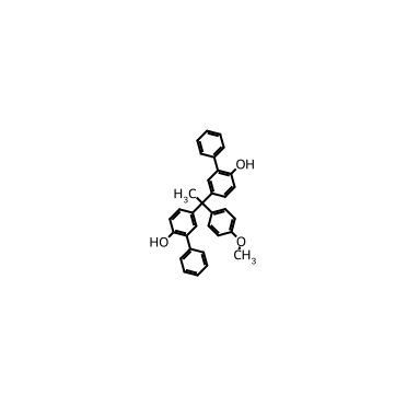 COc1ccc(C(C)(c2ccc(O)c(-c3ccccc3)c2)c2ccc(O)c(-c3ccccc3)c2)cc1